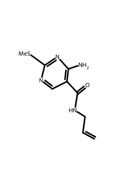 C=CCNC(=O)c1cnc(SC)nc1N